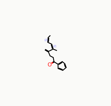 C=C(CCC(=O)c1ccccc1)/C(C)=C\C=C/C